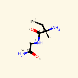 CC(C)C[C@](C)(N)C(=O)NCC(N)=O